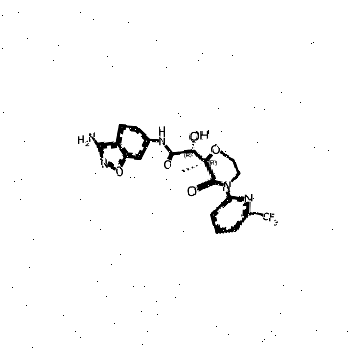 C[C@]1([C@@H](O)C(=O)Nc2ccc3c(N)noc3c2)OCCN(c2cccc(C(F)(F)F)n2)C1=O